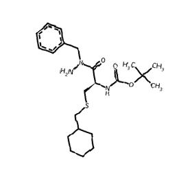 CC(C)(C)OC(=O)N[C@@H](CSCC1CCCCC1)C(=O)N(N)Cc1ccccc1